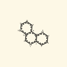 [c]1nc2cccnc2c2cccnc12